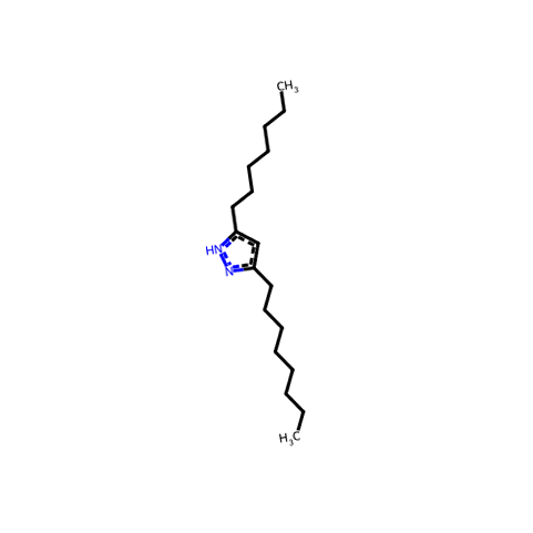 CCCCCCCCc1cc(CCCCCCC)[nH]n1